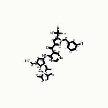 CC(C)[Si](O[C@H]1C[C@H](Nc2ncncc2C(=O)c2cc(C(F)(F)F)n(Cc3cccc(Cl)c3)n2)C[C@@H]1CO)(C(C)C)C(C)C